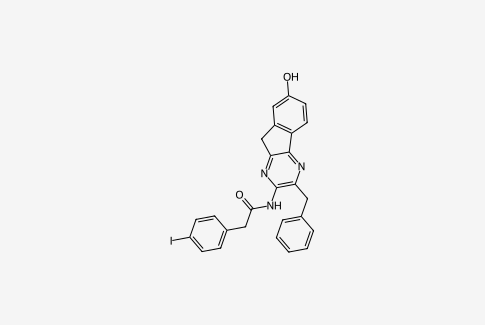 O=C(Cc1ccc(I)cc1)Nc1nc2c(nc1Cc1ccccc1)-c1ccc(O)cc1C2